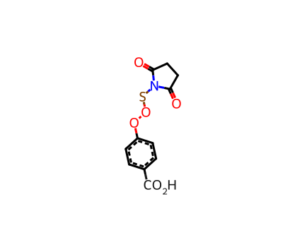 O=C(O)c1ccc(OOSN2C(=O)CCC2=O)cc1